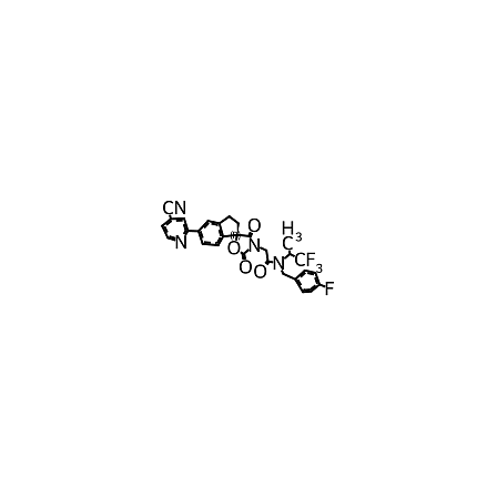 CC(N(Cc1ccc(F)cc1)C(=O)CN1C(=O)O[C@@]2(CCc3cc(-c4cc(C#N)ccn4)ccc32)C1=O)C(F)(F)F